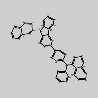 c1ccc(N(c2ccc(-c3ccc4c(c3)-c3ccccc3[C@H]4c3ccc4ccccc4c3)cc2)c2cccc3ccccc23)cc1